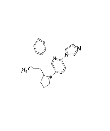 CCC1CCCN1c1ccc(-n2ccnc2)nc1.c1ccccc1